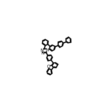 c1ccc(-c2ccc(-c3ccc4c(c3)c3ccccc3c3nnc(-c5ccc(-c6cccc7c6oc6ccccc67)cc5)n43)cc2)cc1